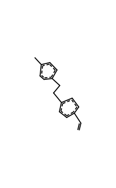 C=Cc1ccc(CCc2ccc(C)cc2)cc1